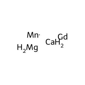 [CaH2].[Gd].[MgH2].[Mn]